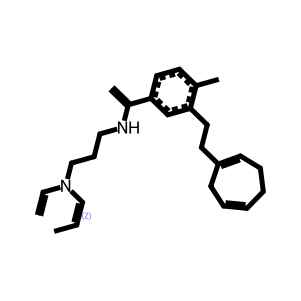 C=CN(/C=C\C)CCCNC(=C)c1ccc(C)c(CCC2=CCCC=CC2)c1